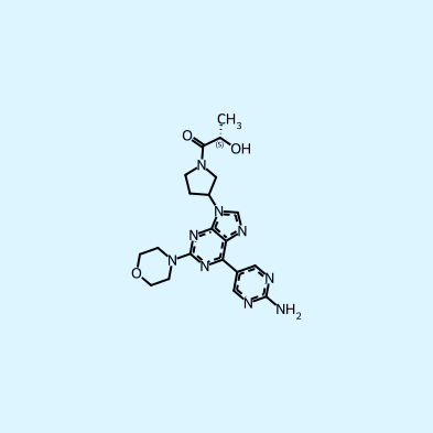 C[C@H](O)C(=O)N1CCC(n2cnc3c(-c4cnc(N)nc4)nc(N4CCOCC4)nc32)C1